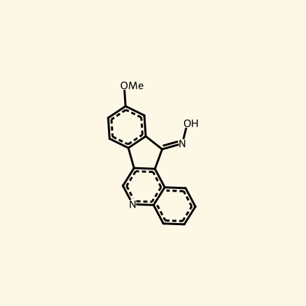 COc1ccc2c(c1)/C(=N\O)c1c-2cnc2ccccc12